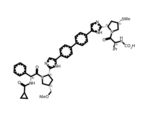 COC[C@H]1C[C@@H](c2ncc(-c3ccc(-c4ccc(-c5cnc([C@@H]6C[C@H](SC)CN6C(=O)[C@@H](NC(=O)O)C(C)C)[nH]5)cc4)cc3)[nH]2)N(C(=O)[C@H](NC(=O)C2CC2)c2ccccc2)C1